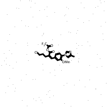 COc1cc(/C=C(/CCCCl)C(=O)OC(=O)C(F)(F)F)ccc1-n1cnc(C)c1